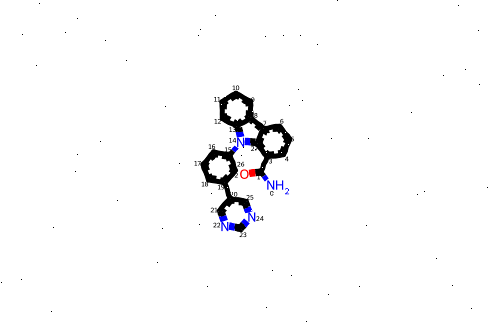 NC(=O)c1cccc2c3ccccc3n(-c3cccc(-c4cncnc4)c3)c12